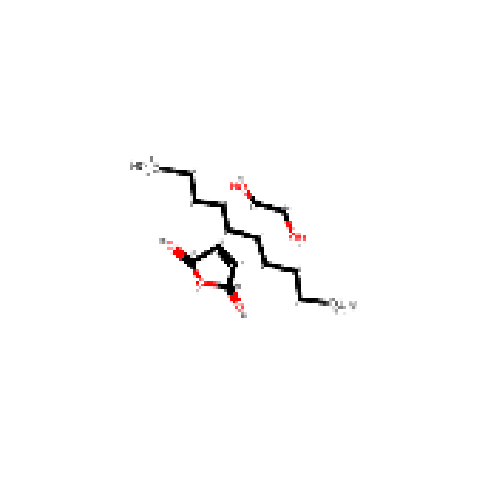 O=C(O)CCCCCCCCC(=O)O.O=C1C=CC(=O)O1.OCCO